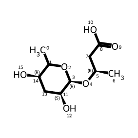 CC1O[C@@H](O[C@H](C)CC(=O)O)[C@@H](O)C[C@H]1O